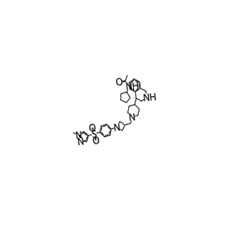 CC(=O)N[C@@H]1CCC[C@H]1C1(C2CCN(CC3CN(c4ccc(S(=O)(=O)c5cnn(C)c5)cc4)C3)CC2)CNCc2ccccc21